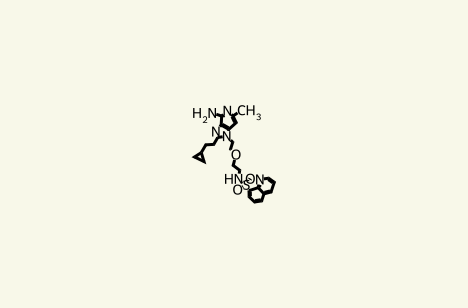 Cc1cc2c(nc(CCC3CC3)n2CCOCCNS(=O)(=O)c2cccc3cccnc23)c(N)n1